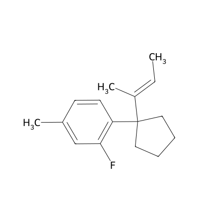 C/C=C(\C)C1(c2ccc(C)cc2F)CCCC1